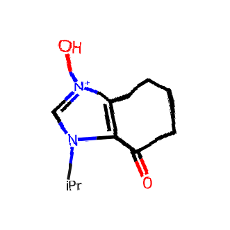 CC(C)n1c[n+](O)c2c1C(=O)CCC2